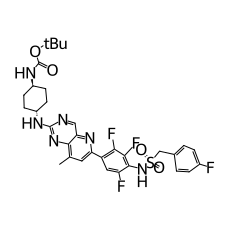 Cc1cc(-c2cc(F)c(NS(=O)(=O)Cc3ccc(F)cc3)c(F)c2F)nc2cnc(N[C@H]3CC[C@H](NC(=O)OC(C)(C)C)CC3)nc12